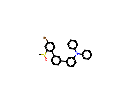 C[S+]([O-])c1cc(Br)ccc1-c1cccc(-c2cccc(N(c3ccccc3)c3ccccc3)c2)c1